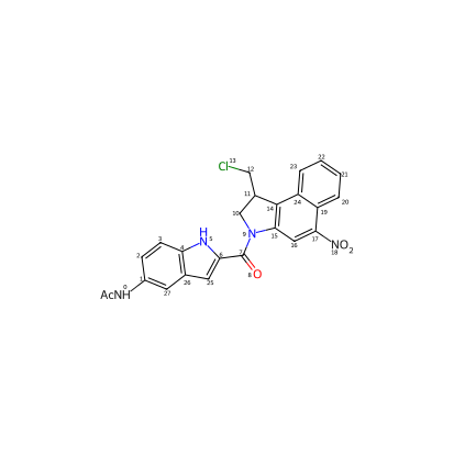 CC(=O)Nc1ccc2[nH]c(C(=O)N3CC(CCl)c4c3cc([N+](=O)[O-])c3ccccc43)cc2c1